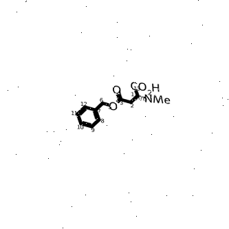 CN[C@H](CC(=O)OCc1ccccc1)C(=O)O